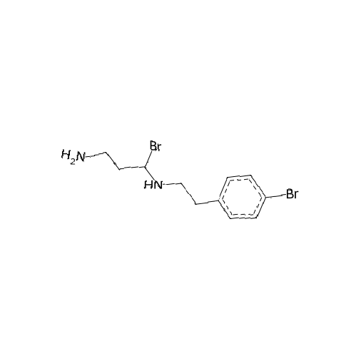 NCCC(Br)NCCc1ccc(Br)cc1